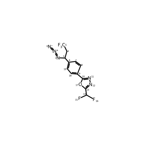 [N-]=[N+]=NC(CC(F)(F)F)c1ccc(-c2nnc(C(F)F)o2)cc1